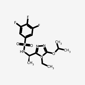 CCn1c(OC(C)C)nnc1[C@@H](C)NS(=O)(=O)c1cc(F)c(F)c(F)c1